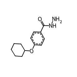 NNC(=O)c1ccc(OC2CCCCC2)cc1